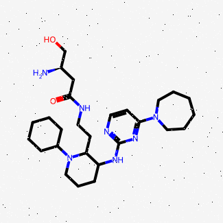 N[C@@H](CO)CC(=O)NCCC1C(Nc2nccc(N3CCCCCC3)n2)CCCN1C1CCCCC1